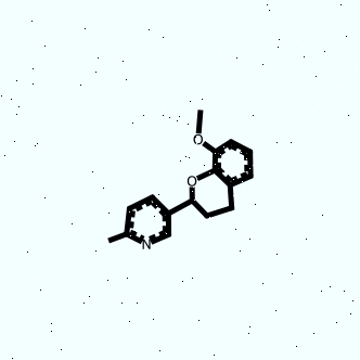 COc1cccc2c1OC(c1ccc(C)nc1)CC2